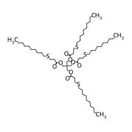 CCCCCCCCCCSCCC(=O)OCC(COC(=O)CCSCCCCCCCCCC)(COC(=O)CCSCCCCCCCCCC)COC(=O)CCSCCCCCCCCCC